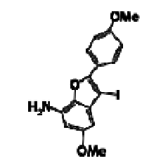 COc1ccc(-c2oc3c(N)cc(OC)cc3c2I)cc1